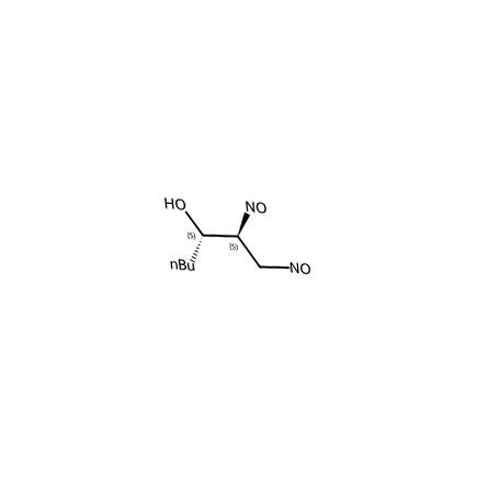 CCCC[C@H](O)[C@H](CN=O)N=O